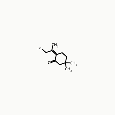 C/C(CC(C)C)=C1\CCC(C)(C)CC1=O